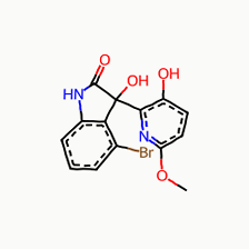 COc1ccc(O)c(C2(O)C(=O)Nc3cccc(Br)c32)n1